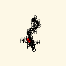 C[C@H](NC(=O)CCN1C(=O)C=CC1=O)C(=O)N[C@@H](C)C(=O)Nc1ccc(Oc2ccc([C@H]3O[C@]4(C(=O)CO)[C@@](O)(C[C@H]5[C@@H]6C[C@H](F)C7=CC(=O)C=C[C@]7(C)[C@@]6(F)[C@@H](O)C[C@@]54C)O3)cc2O)cc1